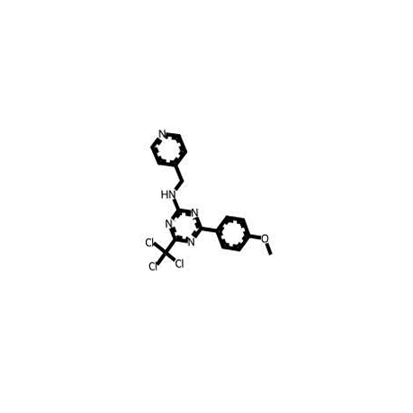 COc1ccc(-c2nc(NCc3ccncc3)nc(C(Cl)(Cl)Cl)n2)cc1